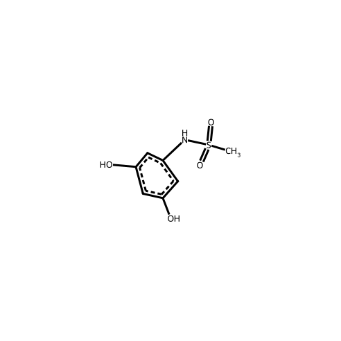 CS(=O)(=O)Nc1cc(O)cc(O)c1